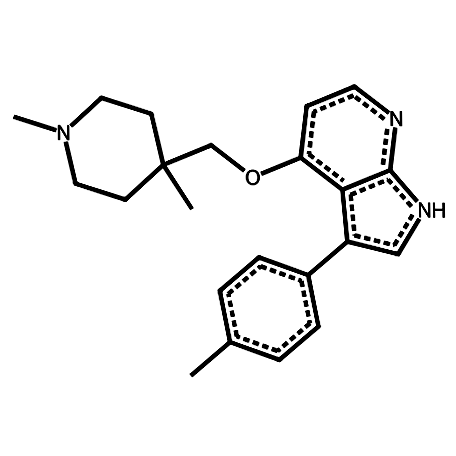 Cc1ccc(-c2c[nH]c3nccc(OCC4(C)CCN(C)CC4)c23)cc1